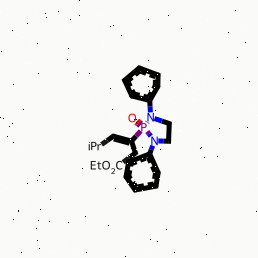 CCOC(=O)C/C(=C\C(C)C)P1(=O)N(c2ccccc2)CCN1c1ccccc1